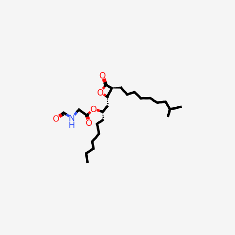 CCCCCCC[C@@H](C[C@@H]1OC(=O)[C@H]1CCCCCCCC(C)C)OC(=O)CNC=O